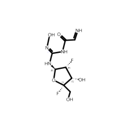 N=CC(=O)N/C(=N\O)N[C@@H]1O[C@](F)(CO)[C@@H](O)[C@H]1F